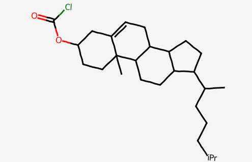 CC(C)CCCC(C)C1CCC2C1CCC1C2CC=C2CC(OC(=O)Cl)CCC21C